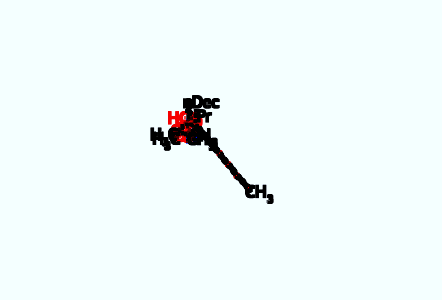 CC#CC#CC#CC#CC#CC#CC#CC#CC#CC#CC#CC#CC(=O)N[C@@H](COCC1OC(C)(C)O[C@H]1[C@@H]1COC(C)(C)O1)[C@H](OC(C)C)[C@H](O)CCCCCCCCCCCCCC